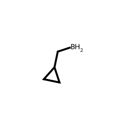 BCC1CC1